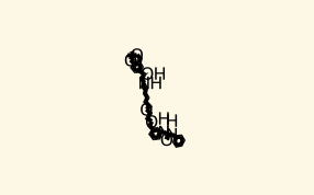 CC1(C)OCc2cc([C@H](O)CNCCCCCCOCCOCc3cccc(NC(=O)NC4CCCCC4)c3)ccc2O1